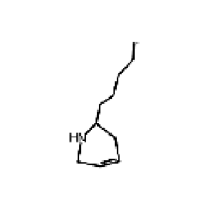 [CH2]CCCCC1CC=CCN1